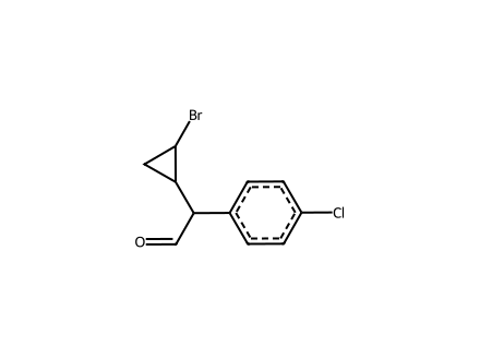 O=CC(c1ccc(Cl)cc1)C1CC1Br